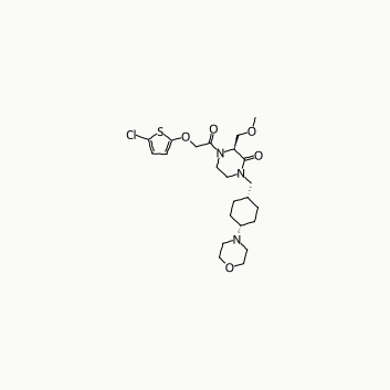 COC[C@H]1C(=O)N(C[C@H]2CC[C@@H](N3CCOCC3)CC2)CCN1C(=O)COc1ccc(Cl)s1